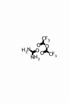 NC(N)=O.O=C(OC(=O)C(F)(F)F)C(F)(F)F